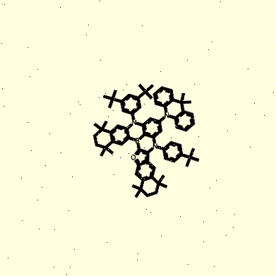 CC(C)(C)c1ccc(N2c3cc(N4c5ccccc5C(C)(C)c5ccccc54)cc4c3B(c3cc5c(cc3N4c3cc(C(C)(C)C)cc(C(C)(C)C)c3)C(C)(C)CCC5(C)C)c3oc4cc5c(cc4c32)C(C)(C)CCC5(C)C)cc1